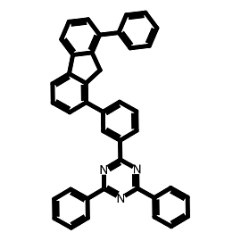 c1ccc(-c2nc(-c3ccccc3)nc(-c3cccc(-c4cccc5c4Cc4c(-c6ccccc6)cccc4-5)c3)n2)cc1